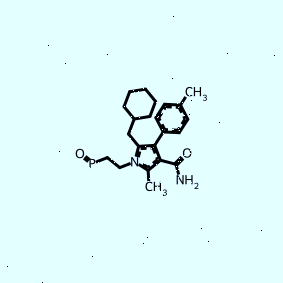 Cc1ccc(-c2c(C(N)=O)c(C)n(CCP=O)c2CC2CCCCC2)cc1